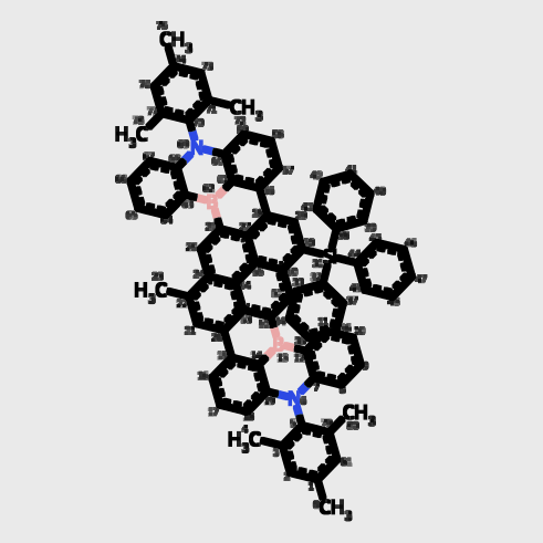 Cc1cc(C)c(N2c3ccccc3B3c4c(cccc42)-c2cc(C)c4cc5c6c(cc([Si](c7ccccc7)(c7ccccc7)c7ccccc7)c7cc3c2c4c76)-c2cccc3c2B5c2ccccc2N3c2c(C)cc(C)cc2C)c(C)c1